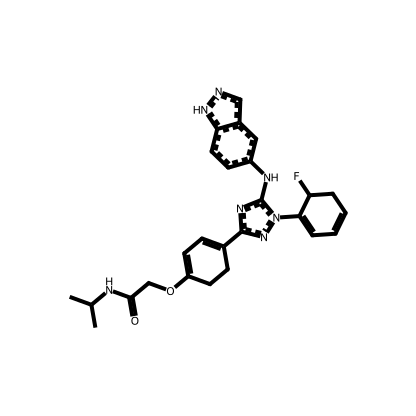 CC(C)NC(=O)COC1=CC=C(c2nc(Nc3ccc4[nH]ncc4c3)n(C3=CC=CCC3F)n2)CC1